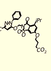 CC(C)c1cc(OCCCC(=O)O)cc2c1C(=O)N(COc1cc(C(F)(F)F)nn1-c1ccccc1)S2(=O)=O